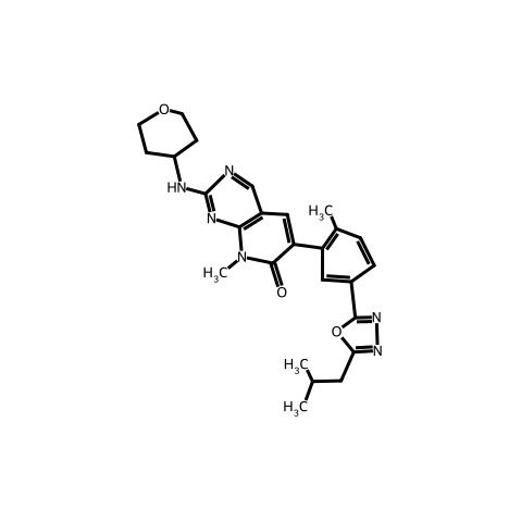 Cc1ccc(-c2nnc(CC(C)C)o2)cc1-c1cc2cnc(NC3CCOCC3)nc2n(C)c1=O